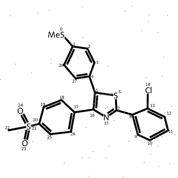 CSc1ccc(-c2sc(-c3ccccc3Cl)nc2-c2ccc(S(C)(=O)=O)cc2)cc1